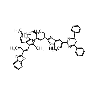 C=C/C=C\c1c(/C=C(\C=C)c2nc3ccccc3o2)c(C)n(C(/C=C\C)=C/C(=C\C)c2n/c(=C/C(=C\C)c3nc(-c4ccccc4)nc(-c4ccccc4)n3)c(=C)s2)c1C